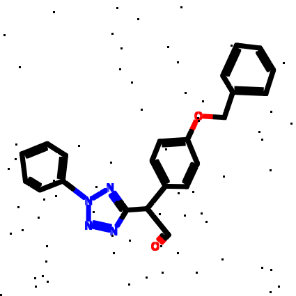 O=CC(c1ccc(OCc2ccccc2)cc1)c1nnn(-c2ccccc2)n1